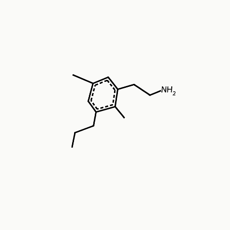 CCCc1cc(C)cc(CCN)c1C